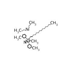 CCCCCCCCCCCCCC=CC1=C(c2cccc(C)c2)[N+](=[N-])C(c2cccc(C)c2)=C1C.CCC[CH2][Ni][CH2]CCC